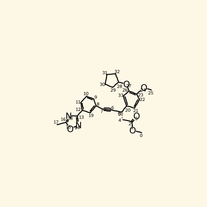 COC(=O)C[C@H](C#Cc1cccc(-c2noc(C)n2)c1)c1ccc(OC)c(OC2CCCC2)c1